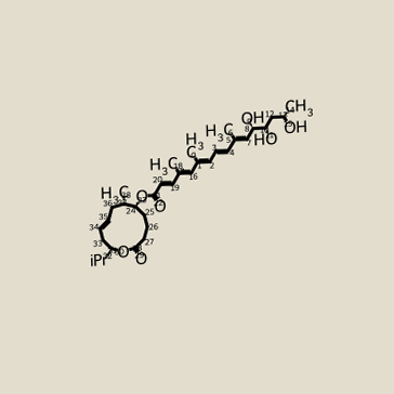 CC(=C\C=C\C(C)=C\[C@H](O)[C@@H](O)C[C@H](C)O)/C=C(C)/C=C/C(=O)O[C@H]1CCCC(=O)O[C@@H](C(C)C)C/C=C/C[C@@H]1C